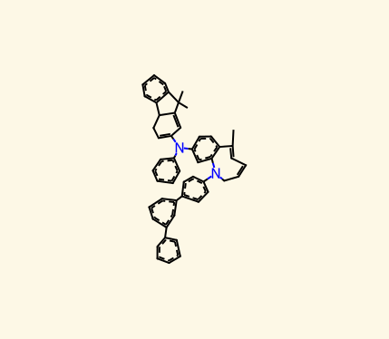 C/C1=C\C=C/CN(c2ccc(-c3cccc(-c4ccccc4)c3)cc2)c2cc(N(C3=CCC4C(=C3)C(C)(C)c3ccccc34)c3ccccc3)ccc21